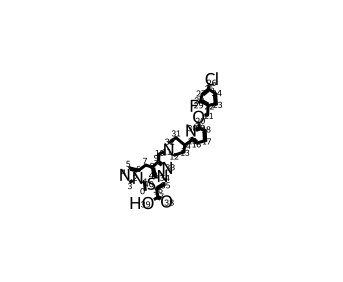 CCn1cncc1Cc1c(CN2CCC(c3cccc(OCc4ccc(Cl)cc4F)n3)CC2)nn2cc(C(=O)O)sc12